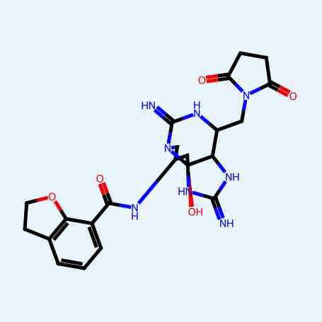 N=C1NC2C(CN3C(=O)CCC3=O)NC(=N)N3CC(NC(=O)c4cccc5c4OCC5)[C@@H](O)C23N1